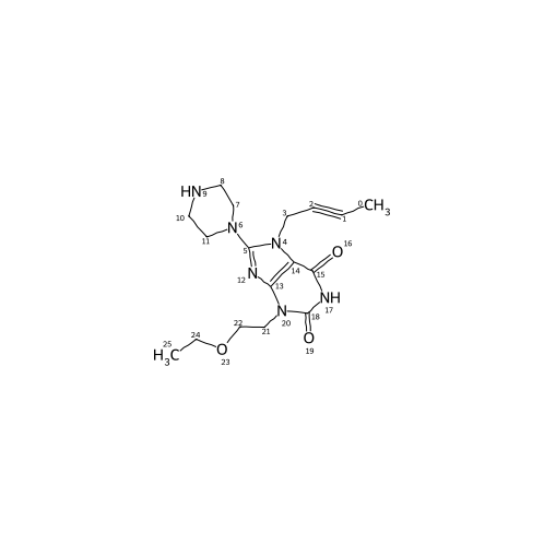 CC#CCn1c(N2CCNCC2)nc2c1c(=O)[nH]c(=O)n2CCOCC